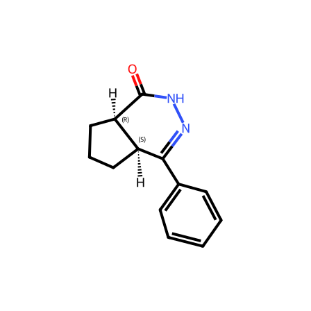 O=C1NN=C(c2ccccc2)[C@H]2CCC[C@@H]12